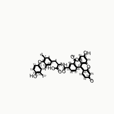 O=C(NC(Cc1cc(I)c(Oc2ccc(O)c(I)c2)c(I)c1)C(=O)O)c1ccc(-c2c3ccc(=O)cc-3oc3cc(O)ccc23)c(C(=O)O)c1